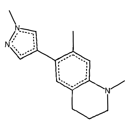 Cc1cc2c(cc1-c1cnn(C)c1)CCCN2C